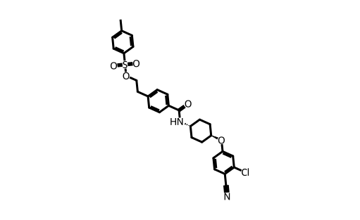 Cc1ccc(S(=O)(=O)OCCc2ccc(C(=O)N[C@H]3CC[C@H](Oc4ccc(C#N)c(Cl)c4)CC3)cc2)cc1